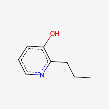 CCCc1ncccc1O